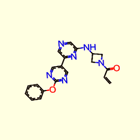 C=CC(=O)N1CC(Nc2cncc(-c3cnc(Oc4ccccc4)nc3)n2)C1